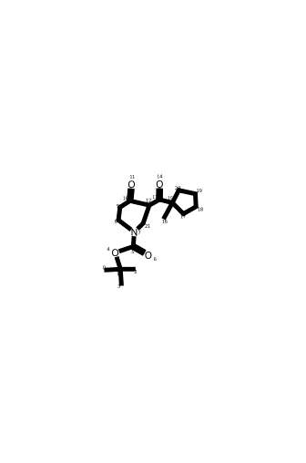 CC(C)(C)OC(=O)N1CCC(=O)C(C(=O)C2(C)CCCC2)C1